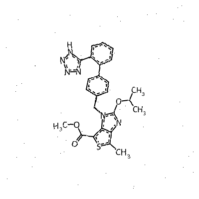 COC(=O)c1sc(C)c2nc(OC(C)C)n(Cc3ccc(-c4ccccc4-c4nnn[nH]4)cc3)c12